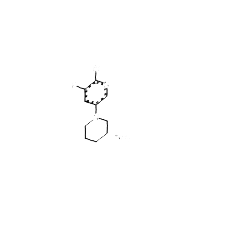 N[C@@H]1CCCN(c2cnc(Br)c(F)c2)C1